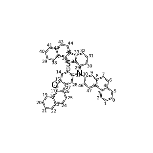 c1ccc2c(c1)ccc1cc(N(c3ccc4oc5c6ccccc6ccc5c4c3)c3cccc4c3sc3c5ccccc5ccc43)ccc12